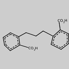 O=C(O)c1ccccc1CCCc1ccccc1C(=O)O